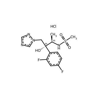 C[C@@H](NS(C)(=O)=O)[C@](O)(Cn1cncn1)c1ccc(F)cc1F.Cl